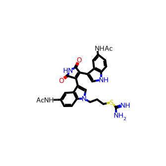 CC(=O)Nc1ccc2[nH]cc(C3=C(c4cn(CCCSC(=N)N)c5ccc(NC(C)=O)cc45)C(=O)NC3=O)c2c1